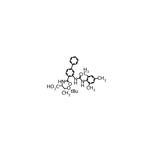 Cc1cc(C)c(NC(=O)Nc2cc(-c3ccccc3)ccc2C(=O)N[C@H](C(=O)O)[C@@H](C)OC(C)(C)C)c(C)c1